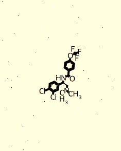 CN(C)C[C@H](NC(=O)c1ccc(OC(F)(F)F)cc1)c1ccc(Cl)c(Cl)c1